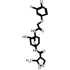 CC1NOCC1C(=O)NC12CCC(NC(=O)COc3ccc(Cl)c(F)c3)(CC1)C(O)C2